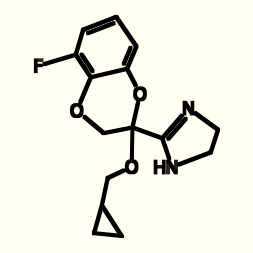 Fc1cccc2c1OCC(OCC1CC1)(C1=NCCN1)O2